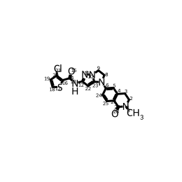 CN1CCc2cc(N3CCn4nc(NC(=O)c5sccc5Cl)cc43)ccc2C1=O